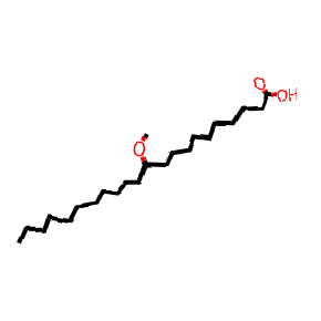 CCCCCCCCCCCC(CCCCCCCCCC(=O)O)OC